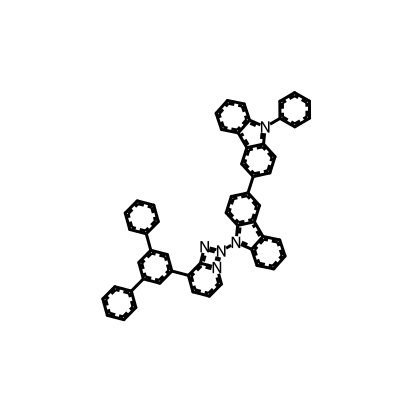 c1ccc(-c2cc(-c3ccccc3)cc(-c3cccn4c3nn4-n3c4ccccc4c4cc(-c5ccc6c(c5)c5ccccc5n6-c5ccccc5)ccc43)c2)cc1